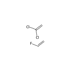 C=C(Cl)Cl.C=CF